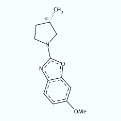 COc1ccc2nc(N3CC[C@H](C)C3)oc2c1